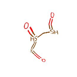 O=S=[SH](=O)[SH]=O